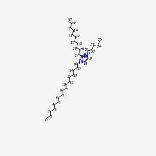 CCCCCCCCCCCCCCCCCn1cc[n+](CCCCC)c1CCCCCCCCCCC